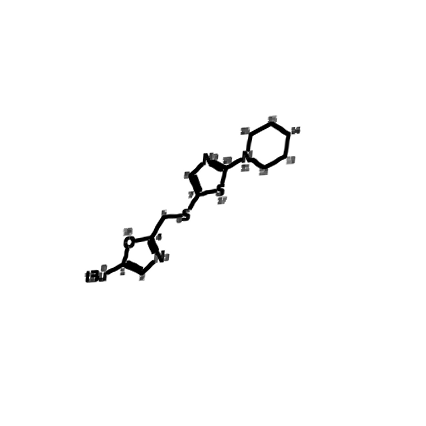 CC(C)(C)c1cnc(CSc2cnc(N3CCCCC3)s2)o1